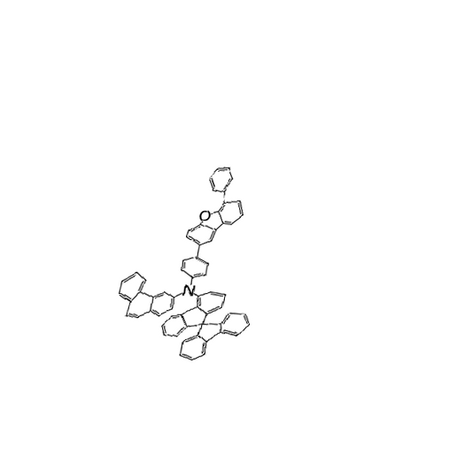 c1ccc(-c2cccc3c2oc2ccc(-c4ccc(N(c5ccc6ccc7ccccc7c6c5)c5cccc6c5-c5ccccc5C65c6ccccc6-c6ccccc65)cc4)cc23)cc1